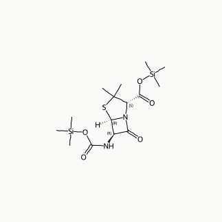 CC1(C)S[C@@H]2[C@H](NC(=O)O[Si](C)(C)C)C(=O)N2[C@H]1C(=O)O[Si](C)(C)C